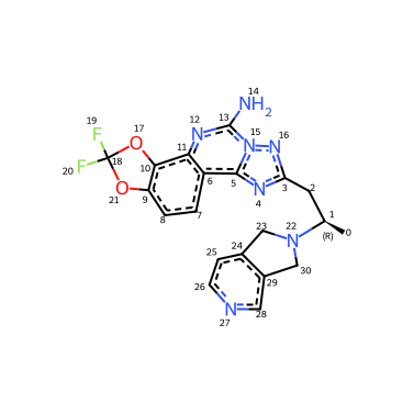 C[C@H](Cc1nc2c3ccc4c(c3nc(N)n2n1)OC(F)(F)O4)N1Cc2ccncc2C1